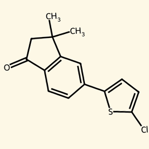 CC1(C)CC(=O)c2ccc(-c3ccc(Cl)s3)cc21